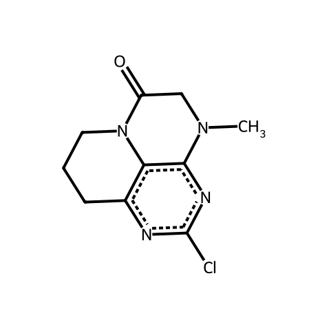 CN1CC(=O)N2CCCc3nc(Cl)nc1c32